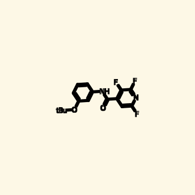 CC(C)(C)Oc1cccc(NC(=O)c2cc(F)nc(F)c2F)c1